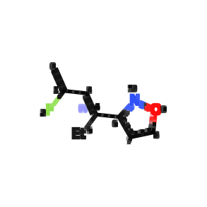 C=C(F)/C=C(\CC)c1ccon1